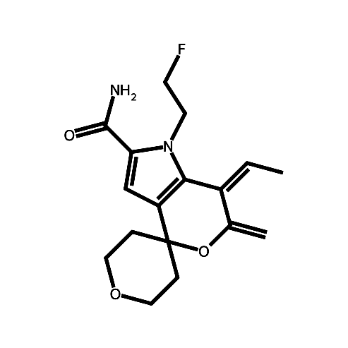 C=C1OC2(CCOCC2)c2cc(C(N)=O)n(CCF)c2/C1=C/C